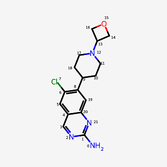 Nc1ncc2cc(Cl)c(C3CCN(C4COC4)CC3)cc2n1